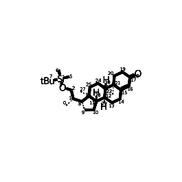 C[C@H](CO[Si](C)(C)C(C)(C)C)[C@H]1CC[C@H]2[C@@H]3CCC4=CC(=O)CC[C@]4(C)[C@H]3CC[C@]12C